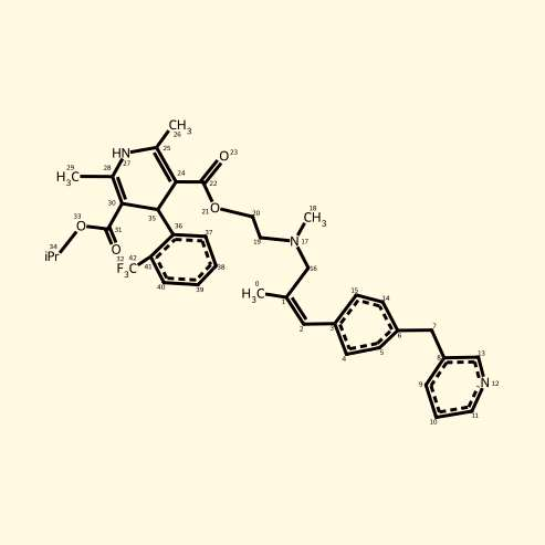 CC(=Cc1ccc(Cc2cccnc2)cc1)CN(C)CCOC(=O)C1=C(C)NC(C)=C(C(=O)OC(C)C)C1c1ccccc1C(F)(F)F